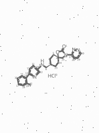 Cl.O=C1O[C@]2(CC[C@H](CNc3ccc(-c4ccccc4F)nc3)CC2)CN1c1cccnn1